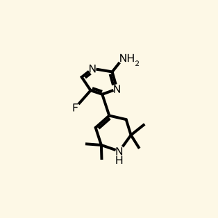 CC1(C)C=C(c2nc(N)ncc2F)CC(C)(C)N1